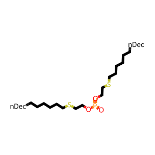 CCCCCCCCCCCCCCCCSCCO[PH](=O)OCCSCCCCCCCCCCCCCCCC